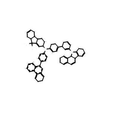 CC1(C)C2=CC(N(C3=CC=C(C4C=C(N5C6=C(C=CCC6)C6C=CC7=CCCC=C7C65)C=CC4)CC3)c3ccc(-c4cc5c(c6ccccc46)=CCCC=5)cc3)CCC2C2CC=CCC21